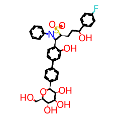 O=S1(=O)[C@@H](CC[C@H](O)c2ccc(F)cc2)[C@@H](c2ccc(-c3ccc([C@@H]4O[C@H](CO)[C@@H](O)[C@H](O)[C@H]4O)cc3)cc2O)N1c1ccccc1